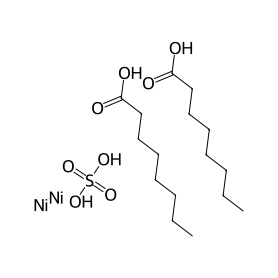 CCCCCCCC(=O)O.CCCCCCCC(=O)O.O=S(=O)(O)O.[Ni].[Ni]